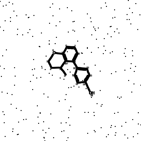 CC1CCOc2cccc(-c3ccc(O)cc3)c21